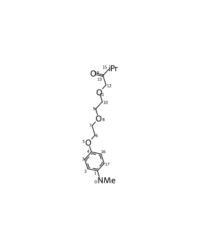 CNc1ccc(OCCOCCOCC(=O)C(C)C)cc1